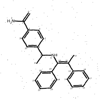 C=C(N)c1ccc(C(C)N/C(=C(\C)c2ccccc2)c2ccccc2)cc1